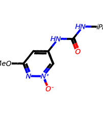 COc1cc(NC(=O)NC(C)C)c[n+]([O-])n1